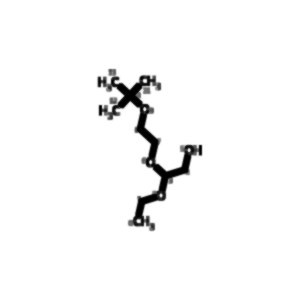 CCOC(CO)OCCOC(C)(C)C